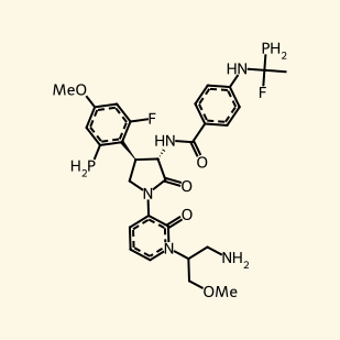 COCC(CN)n1cccc(N2C[C@@H](c3c(F)cc(OC)cc3P)[C@H](NC(=O)c3ccc(NC(C)(F)P)cc3)C2=O)c1=O